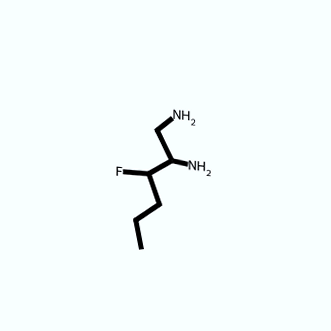 CCCC(F)C(N)CN